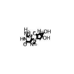 C=C1[C@@H]2C(O)[C@]2(O)C[C@@H]1n1cnc2c(=O)[nH]c(N)nc21